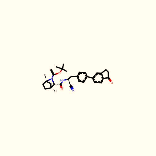 C=C(OC(C)(C)C)N1[C@@H]2CC[C@@H](C2)[C@H]1C(=O)N[C@H](C#N)Cc1ccc(-c2ccc3c(c2)CCC3=O)cc1